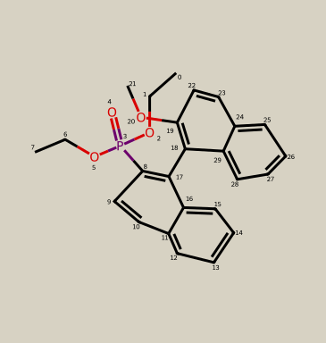 CCOP(=O)(OCC)c1ccc2ccccc2c1-c1c(OC)ccc2ccccc12